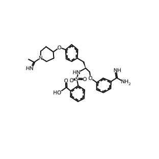 CC(=N)N1CCC(Oc2ccc(C[C@@H](COc3cccc(C(=N)N)c3)NS(=O)(=O)c3ccccc3C(=O)O)cc2)CC1